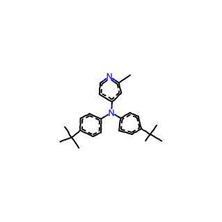 Cc1cc(N(c2ccc(C(C)(C)C)cc2)c2ccc(C(C)(C)C)cc2)ccn1